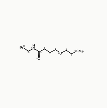 COCCOCCCC(=O)NCC(C)C